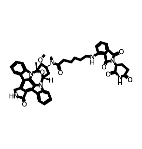 CO[C@@H]1[C@H](N(C)C(=O)CCCCCNc2cccc3c2C(=O)N(C2CCC(=O)NC2=O)C3=O)C[C@H]2O[C@]1(C)n1c3ccccc3c3c4c(c5c6ccccc6n2c5c31)C(=O)NC4